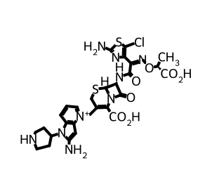 C[C@H](O/N=C(\C(=O)N[C@@H]1C(=O)N2C(C(=O)O)=C(C[n+]3cccc4c3cc(N)n4C3CCNCC3)CS[C@H]12)c1nc(N)sc1Cl)C(=O)O